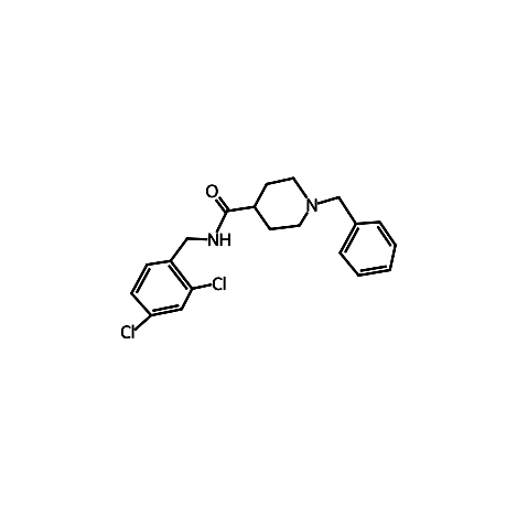 O=C(NCc1ccc(Cl)cc1Cl)C1CCN(Cc2ccccc2)CC1